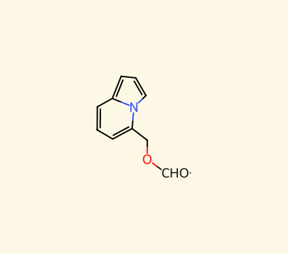 O=[C]OCc1cccc2cccn12